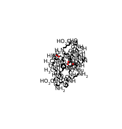 CC[C@H](C)[C@H](NC(=O)[C@H](CC(C)C)NC(=O)CNC(=O)[C@H](CCCCN)NC(=O)[C@@H]1CCCN1C(=O)[C@H](CC(N)=O)NC(=O)[C@H](CCC(=O)O)NC(=O)[C@H](Cc1ccccc1)NC(=O)[C@H](C)NC(=O)[C@H](C)NC(=O)[C@H](CS)NC(=O)[C@H](CCC(N)=O)NC(=O)[C@H](CO)NC(=O)[C@@H](NC(=O)[C@@H](N)CS)C(C)C)C(=O)N[C@@H](Cc1c[nH]cn1)C(=O)NCC(=O)N[C@@H](CS)C(=O)N[C@@H](CO)C(=O)N[C@@H](CCCCN)C(=O)O